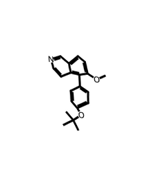 COc1ccc2cnccc2c1-c1ccc(OC(C)(C)C)cc1